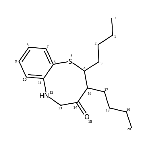 CCCCC1Sc2ccccc2NCC(=O)C1CCCC